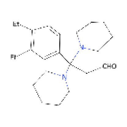 CCc1ccc(C(CC=O)(N2CCCCC2)N2CCCCC2)cc1CC